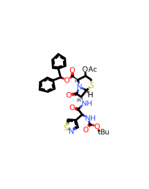 CC(=O)OC1CS[C@H]2[C@H](NC(=O)C(NC(=O)OC(C)(C)C)c3cnsc3)C(=O)N2[C@H]1C(=O)OC(c1ccccc1)c1ccccc1